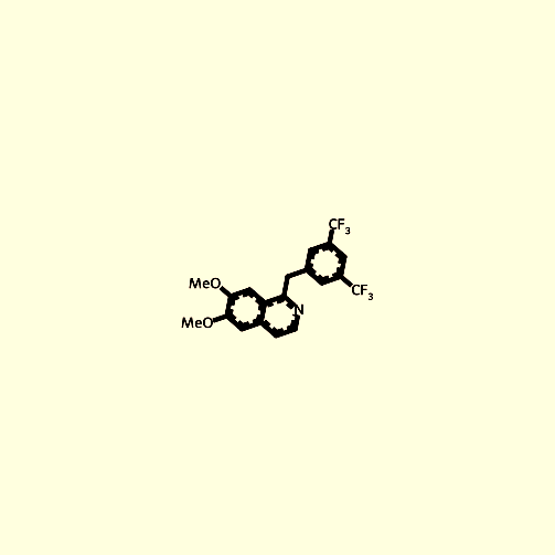 COc1cc2ccnc(Cc3cc(C(F)(F)F)cc(C(F)(F)F)c3)c2cc1OC